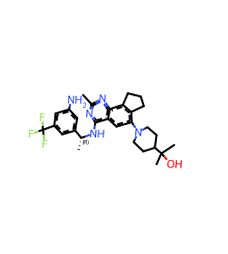 Cc1nc(N[C@H](C)c2cc(N)cc(C(F)(F)F)c2)c2cc(N3CCC(C(C)(C)O)CC3)c3c(c2n1)CCC3